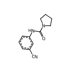 N#Cc1cccc(NC(=O)N2CCCC2)c1